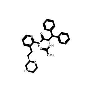 COC(=O)N[C@H](C(=O)Nc1ncccc1CC[C@@H]1CNCCO1)C(c1ccccc1)c1ccccc1